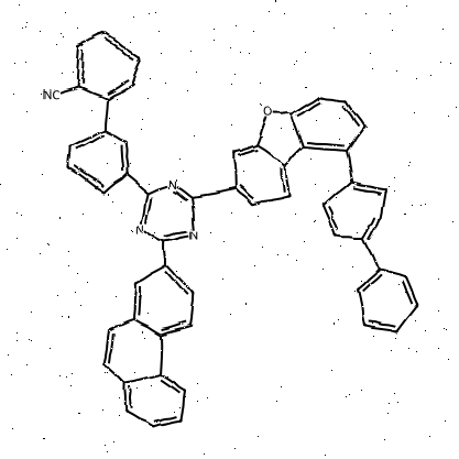 N#Cc1ccccc1-c1cccc(-c2nc(-c3ccc4c(ccc5ccccc54)c3)nc(-c3ccc4c(c3)oc3cccc(-c5ccc(-c6ccccc6)cc5)c34)n2)c1